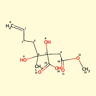 C=CCCC(C)(O)C(O)(CC(=O)OC)C(=O)O